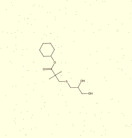 CC(C)(CSCC(O)CO)C(=O)OC1CCCCC1